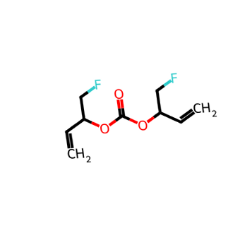 C=CC(CF)OC(=O)OC(C=C)CF